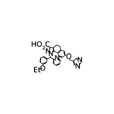 CCOc1cccc(C(c2ccccn2)n2nc(C(=O)O)c3c2-c2ccc(OCc4cncnc4)cc2CC3)c1